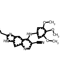 COc1cc(Nc2c(C#N)cnc3cc4[nH]c(CCl)nc4cc23)cc(OC)c1OC